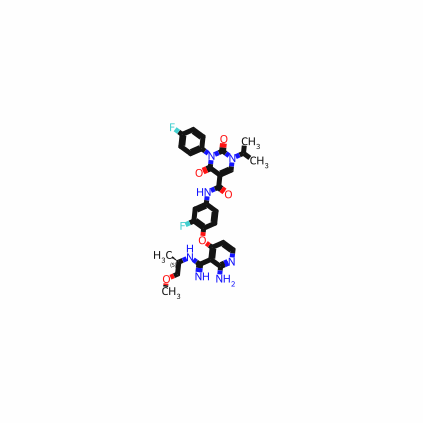 COC[C@H](C)NC(=N)c1c(Oc2ccc(NC(=O)c3cn(C(C)C)c(=O)n(-c4ccc(F)cc4)c3=O)cc2F)ccnc1N